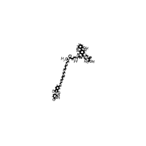 CN(CCOCCOCCOCCOCCOc1ccc2c(c1)C(=O)N(C1CCC(=O)NC1=O)C2=O)C(=O)CCNc1nc(N2CCN(C(=O)C(O)O)CC2)c2cc(Cl)c(-c3c(O)cccc3F)c(F)c2n1